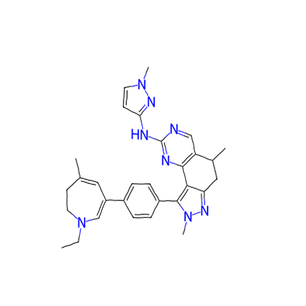 CCN1C=C(c2ccc(-c3c4c(nn3C)CC(C)c3cnc(Nc5ccn(C)n5)nc3-4)cc2)C=C(C)CC1